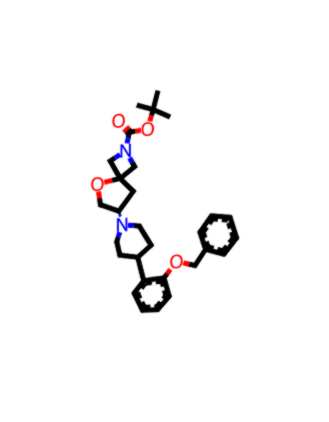 CC(C)(C)OC(=O)N1CC2(C[C@H](N3CCC(c4ccccc4OCc4ccccc4)CC3)CO2)C1